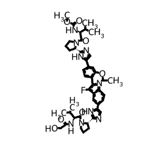 COC(=O)N[C@H](C(=O)N1CCC[C@H]1c1ncc(-c2ccc3c(c2)OC(C)n2c-3c(F)c3cc(-c4cnc([C@@H]5CCCN5C(=O)[C@@H](NC(=O)CO)C(C)C)[nH]4)ccc32)[nH]1)C(C)C